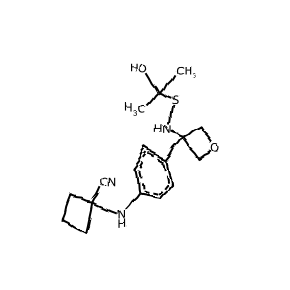 CC(C)(O)SNC1(c2ccc(NC3(C#N)CCC3)cc2)COC1